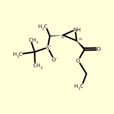 CCOC(=O)[C@@H]1N[C@H]1C(C)[S+]([O-])C(C)(C)C